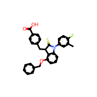 Cc1cc(N2C(=S)C(Cc3ccc(C(=O)O)cc3)c3c(OCc4ccccc4)cccc32)ccc1F